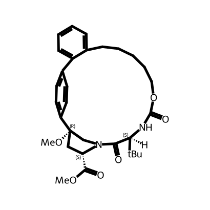 COC(=O)[C@@H]1C[C@]2(OC)CN1C(=O)[C@H](C(C)(C)C)NC(=O)OCCCCCc1ccccc1-c1ccc2cc1